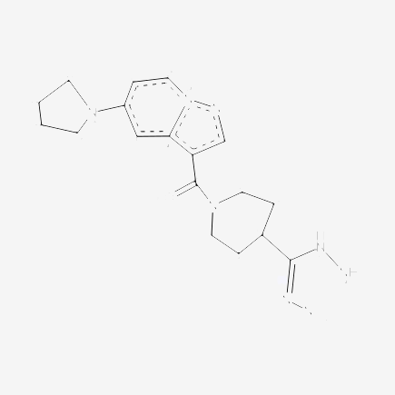 N/N=C(\NN)C1CCN(C(=O)c2cnn3ccc(N4CCCC4)cc23)CC1